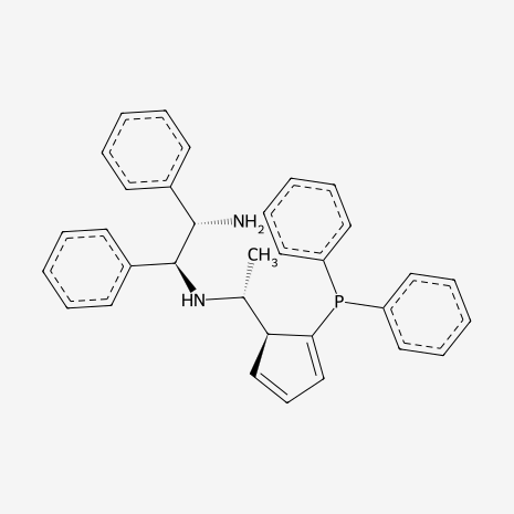 C[C@@H](N[C@@H](c1ccccc1)[C@@H](N)c1ccccc1)[C@@H]1C=CC=C1P(c1ccccc1)c1ccccc1